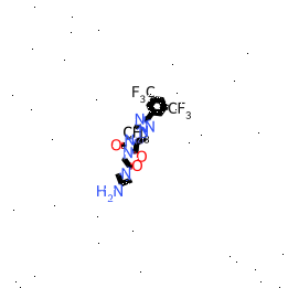 CN1C(=O)N(CC(=O)N2CC(N)C2)C(=O)/C1=C/n1cnc(-c2cc(C(F)(F)F)cc(C(F)(F)F)c2)n1